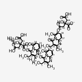 CCc1c(C)nc2cccc(C)n2c1=O.CCc1c(C)nc2cccc(C)n2c1=O.CCc1c(C)nc2cccc(C)n2c1=O.O=C(O)CC(O)(CC(=O)O)C(=O)[O-].O=C([O-])CC(O)(CC(=O)O)C(=O)[O-].[H+].[H+].[H+]